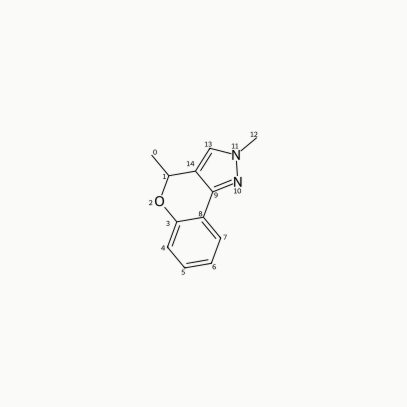 CC1Oc2ccccc2-c2nn(C)cc21